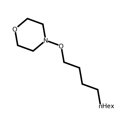 CCCCCCCCCCON1CCOCC1